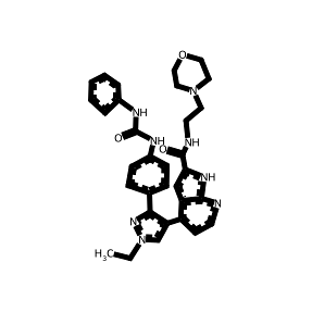 CCn1cc(-c2ccnc3[nH]c(C(=O)NCCN4CCOCC4)cc23)c(-c2ccc(NC(=O)Nc3ccccc3)cc2)n1